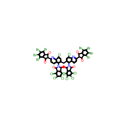 O=C1c2c(Br)c(Br)c(Br)c(Br)c2C(=O)C1c1ccc2c(N3C(=O)c4c(Cl)c(Cl)c(Cl)c(Cl)c4C3=O)c(Cc3cc(Cl)c4nc(C5C(=O)c6c(Br)c(Br)c(Br)c(Br)c6C5=O)ccc4c3N3C(=O)c4c(Cl)c(Cl)c(Cl)c(Cl)c4C3=O)cc(Cl)c2n1